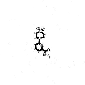 NC(=O)c1[c]ccc(N2CCS(=O)(=O)CC2)n1